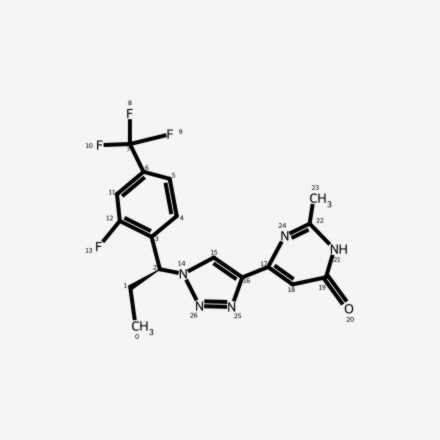 CC[C@@H](c1ccc(C(F)(F)F)cc1F)n1cc(-c2cc(=O)[nH]c(C)n2)nn1